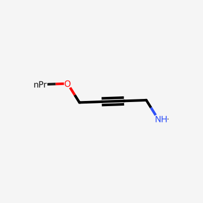 CCCOCC#CC[NH]